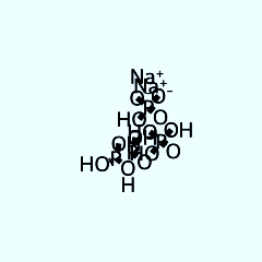 O=P(O)(O)O.O=P([O-])([O-])O.O=PO.OP(O)O.[Na+].[Na+]